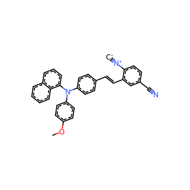 [C-]#[N+]c1ccc(C#N)cc1C=Cc1ccc(N(c2ccc(OC)cc2)c2cccc3ccccc23)cc1